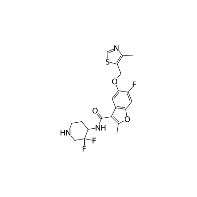 Cc1ncsc1COc1cc2c(C(=O)NC3CCNCC3(F)F)c(C)oc2cc1F